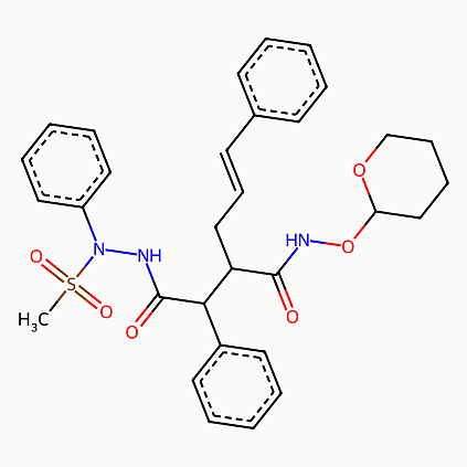 CS(=O)(=O)N(NC(=O)C(c1ccccc1)C(CC=Cc1ccccc1)C(=O)NOC1CCCCO1)c1ccccc1